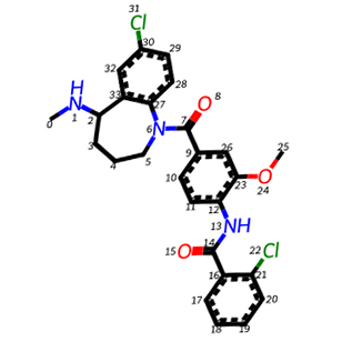 CNC1CCCN(C(=O)c2ccc(NC(=O)c3ccccc3Cl)c(OC)c2)c2ccc(Cl)cc21